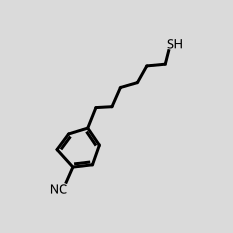 N#Cc1ccc(CCCCCCS)cc1